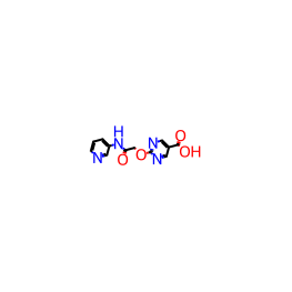 O=C(COc1ncc(C(=O)O)cn1)Nc1cccnc1